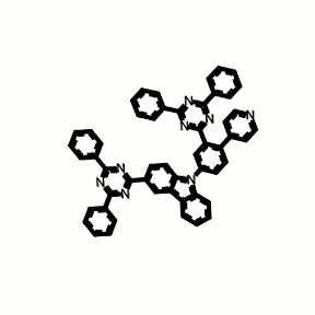 c1ccc(-c2nc(-c3ccccc3)nc(-c3ccc4c(c3)c3ccccc3n4-c3ccc(-c4ccncc4)c(-c4nc(-c5ccccc5)nc(-c5ccccc5)n4)c3)n2)cc1